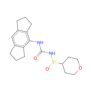 O=C(Nc1c2c(cc3c1CCC3)CCC2)N[S+]([O-])C1CCOCC1